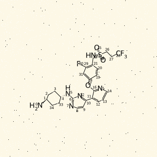 N[C@H]1CC[C@H](Nc2nccc(-c3cccnc3Oc3ccc(NS(=O)(=O)CCC(F)(F)F)c(F)c3)n2)CC1